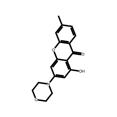 Cc1ccc2c(=O)c3c(O)cc(N4CCOCC4)cc3oc2c1